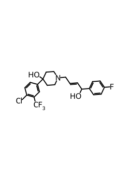 OC(C=CCN1CCC(O)(c2ccc(Cl)c(C(F)(F)F)c2)CC1)c1ccc(F)cc1